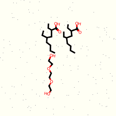 CCCCC(CC)CC(CC)C(=O)O.CCCCC(CC)CC(CC)C(=O)O.OCCOCCOCCO